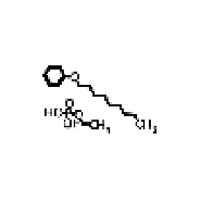 CCCCCCCCCOc1ccccc1.CCOP(=O)(O)O